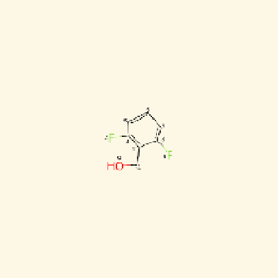 O[CH]c1c(F)cccc1F